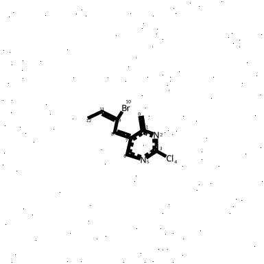 C=c1nc(Cl)nc/c1=C/C(Br)=C\C